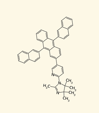 CC1=NC(C)(C)C(C)(C)N1c1ccc(-c2ccc3c(-c4ccc5ccccc5c4)c4ccccc4c(-c4ccc5ccccc5c4)c3c2)cn1